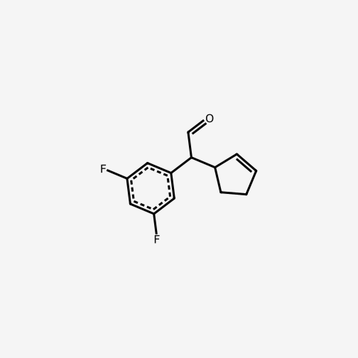 O=CC(c1cc(F)cc(F)c1)C1C=CCC1